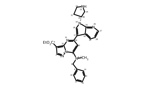 CCOC(=O)c1cnn2c(N(C)Cc3ccccc3)cc(-c3cn([C@@H]4CCNC4)c4ncccc34)nc12